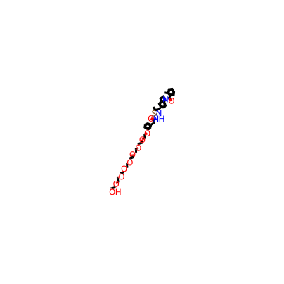 Cc1ccccc1C(=O)n1ccc2cc(-c3nc(NC(=O)Cc4cccc(OCCOCCOCCOCCOCCOCCOCCOCCO)c4)sc3C)ccc21